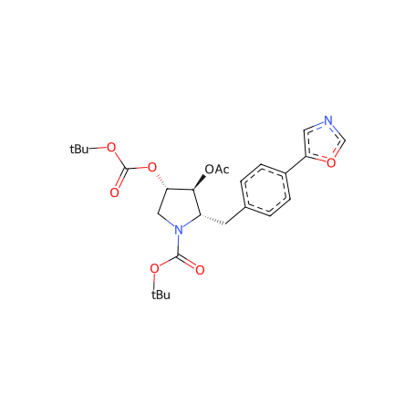 CC(=O)O[C@@H]1[C@@H](OC(=O)OC(C)(C)C)CN(C(=O)OC(C)(C)C)[C@H]1Cc1ccc(-c2cnco2)cc1